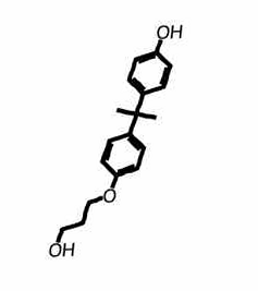 CC(C)(c1ccc(O)cc1)c1ccc(OCCCO)cc1